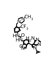 CN1CCN(Cc2ccc(NC(=O)Nc3ccc(-c4cn(C5CC5)c5ncnc(N)c45)c4cnoc34)cc2C(F)(F)F)CC1